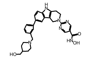 O=C(NO)c1cnc(N2CCc3[nH]c4ccc(-c5cccc(CN6CCC(CO)CC6)c5)cc4c3C2)nc1